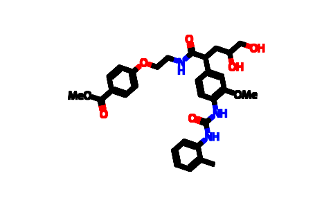 COC(=O)c1ccc(OCCNC(=O)C(CC(O)CO)c2ccc(NC(=O)Nc3ccccc3C)c(OC)c2)cc1